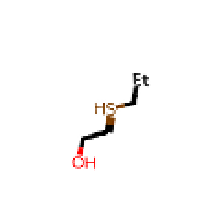 CCC[SH]=CCO